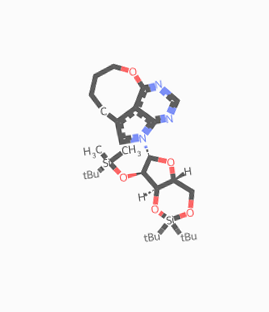 CC(C)(C)[Si](C)(C)O[C@@H]1[C@@H]2O[Si](C(C)(C)C)(C(C)(C)C)OC[C@H]2O[C@H]1n1cc2c3c(ncnc31)OCCCC2